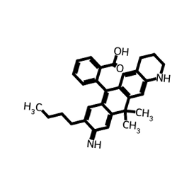 CCCCC1=CC2=C(c3ccccc3C(=O)O)c3cc4c(cc3C(C)(C)C2=CC1=N)NCCC4